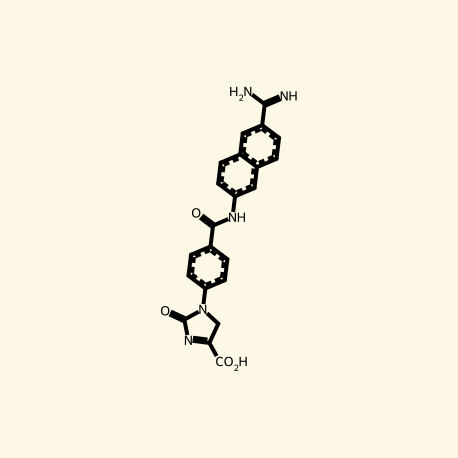 N=C(N)c1ccc2cc(NC(=O)c3ccc(N4CC(C(=O)O)=NC4=O)cc3)ccc2c1